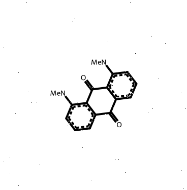 CNc1cccc2c1C(=O)c1c(NC)cccc1C2=O